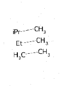 CC.CC(C)C.CCC